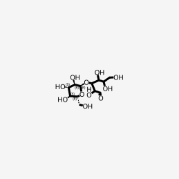 O=CC(O)C(O[C@H]1O[C@H](CO)[C@@H](O)[C@H](O)[C@H]1O)C(O)C(O)CO